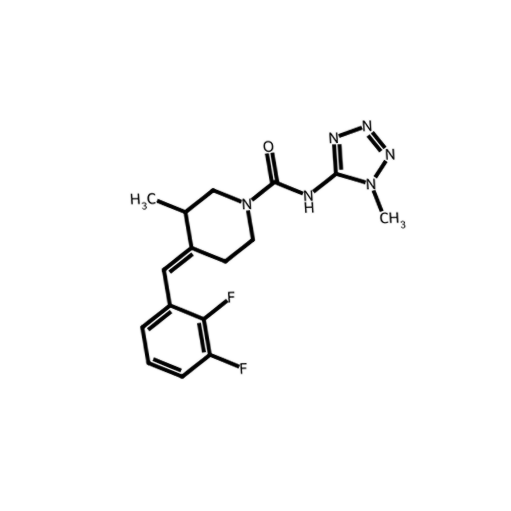 CC1CN(C(=O)Nc2nnnn2C)CCC1=Cc1cccc(F)c1F